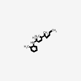 C=C/C=C\C(=C)C(=C)/C=C\C(=C)Nc1ccccc1C